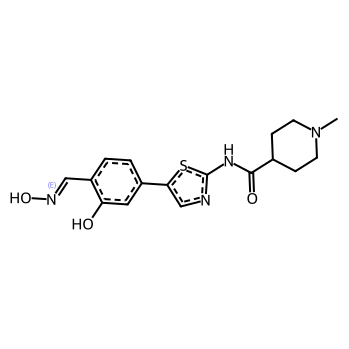 CN1CCC(C(=O)Nc2ncc(-c3ccc(/C=N/O)c(O)c3)s2)CC1